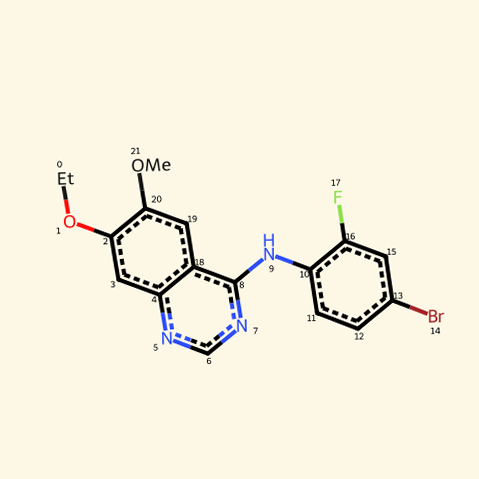 CCOc1cc2ncnc(Nc3ccc(Br)cc3F)c2cc1OC